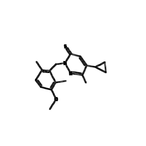 COc1ccc(C)c(Cn2nc(C)c(C3CC3)cc2=S)c1C